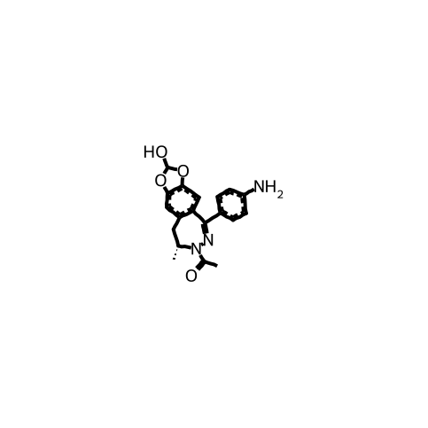 CC(=O)N1N=C(c2ccc(N)cc2)c2cc3c(cc2C[C@H]1C)OC(O)O3